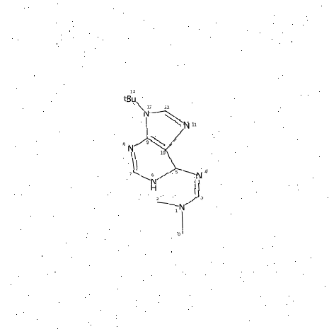 CN(C)/C=N\C1NC=Nc2c1ncn2C(C)(C)C